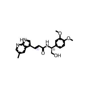 COc1ccc([C@@H](CO)NC(=O)/C=C/c2c[nH]c3ncc(C)cc23)cc1OC